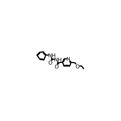 CCOCc1ccc(C(=O)NC(=O)Nc2ccccc2)cn1